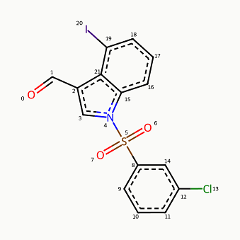 O=Cc1cn(S(=O)(=O)c2cccc(Cl)c2)c2cccc(I)c12